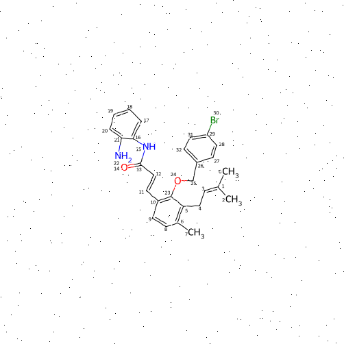 CC(C)=CCc1c(C)ccc(/C=C/C(=O)Nc2ccccc2N)c1OCc1ccc(Br)cc1